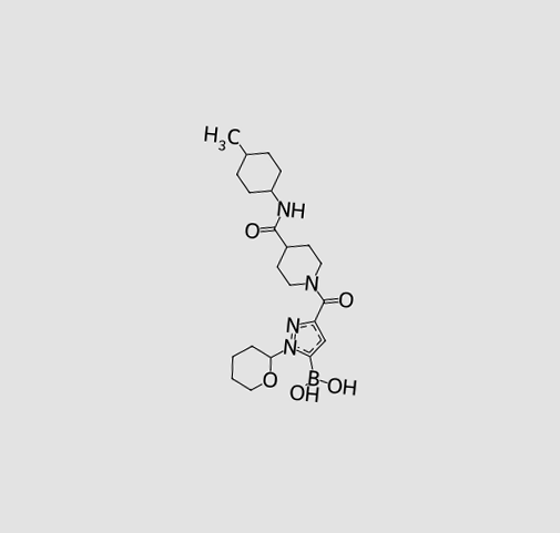 CC1CCC(NC(=O)C2CCN(C(=O)c3cc(B(O)O)n(C4CCCCO4)n3)CC2)CC1